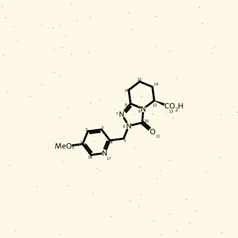 COc1ccc(Cn2nc3n(c2=O)[C@H](C(=O)O)CCC3)nc1